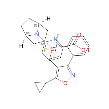 O=C(O)c1cccc(N2[C@@H]3CC[C@H]2C[C@H](OCc2c(-c4ccccc4C(F)(F)F)noc2C2CC2)C3)n1